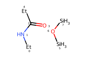 CCNC(=O)CC.[SiH3]O[SiH3]